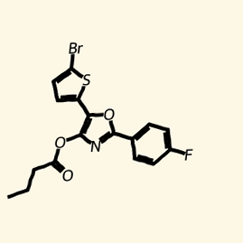 CCCC(=O)Oc1nc(-c2ccc(F)cc2)oc1-c1ccc(Br)s1